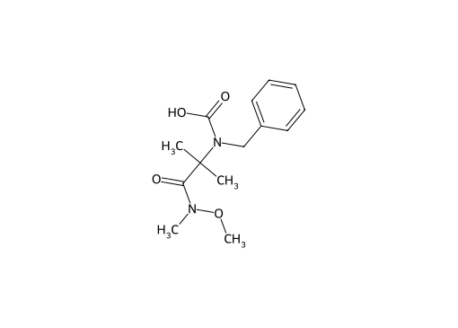 CON(C)C(=O)C(C)(C)N(Cc1ccccc1)C(=O)O